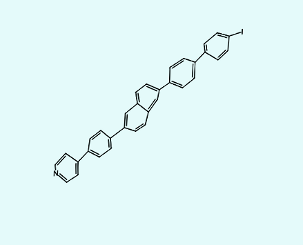 Ic1ccc(-c2ccc(-c3ccc4cc(-c5ccc(-c6ccncc6)cc5)ccc4c3)cc2)cc1